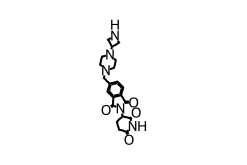 O=C1CCC(N2C(=O)c3ccc(CN4CCN(C5CNC5)CC4)cc3C2=O)C(=O)N1